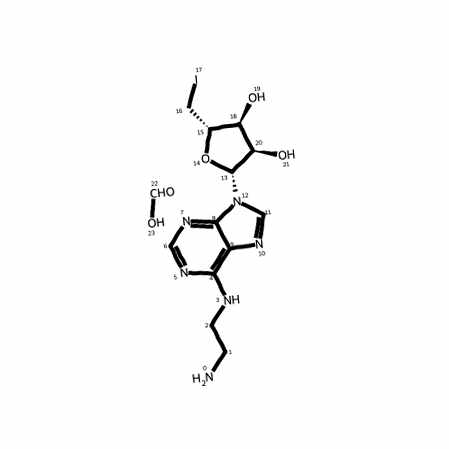 NCCNc1ncnc2c1ncn2[C@@H]1O[C@H](CI)[C@@H](O)[C@H]1O.O=CO